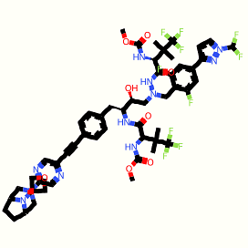 COC(=O)NC(C(=O)N[C@@H](Cc1ccc(C#Cc2cnc(N3CC4CCC(C3)N4C3COC3)cn2)cc1)[C@@H](O)CN(Cc1c(F)cc(-c2ccn(C(F)F)n2)cc1F)NC(=O)[C@@H](NC(=O)OC)C(C)(C)C(F)(F)F)C(C)(C)C(F)(F)F